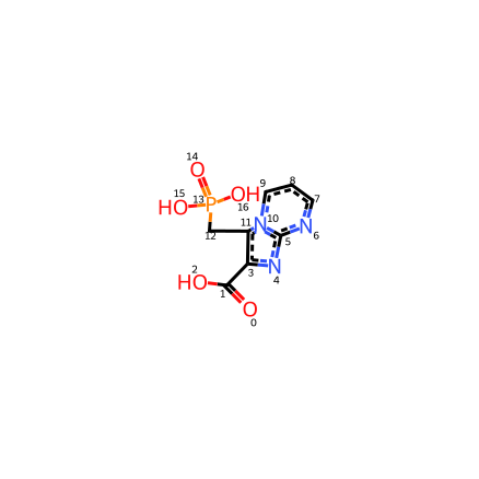 O=C(O)c1nc2ncccn2c1CP(=O)(O)O